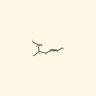 C/[C]=C/CC(C)NC